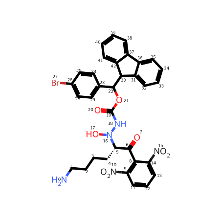 NCCCC[C@@H](C(=O)c1c([N+](=O)[O-])cccc1[N+](=O)[O-])N(O)NC(=O)OC(c1ccc(Br)cc1)C1c2ccccc2-c2ccccc21